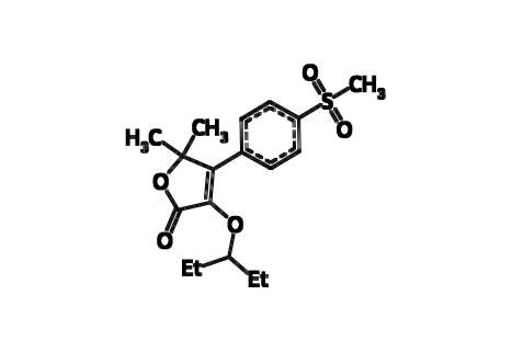 CCC(CC)OC1=C(c2ccc(S(C)(=O)=O)cc2)C(C)(C)OC1=O